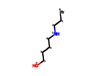 CC(C)CCNCCCCO